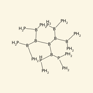 PPB(B(B(B(P)P)B(P)P)B(B(P)P)B(P)P)P(P)P